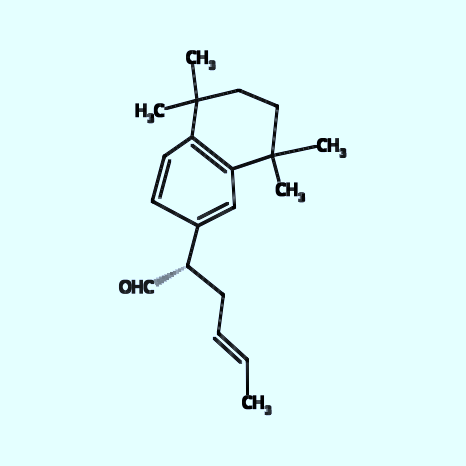 C/C=C/C[C@H](C=O)c1ccc2c(c1)C(C)(C)CCC2(C)C